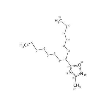 CCCCCCCC(CCCCCC)c1nc(C)no1